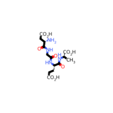 C[C@H](NC(=O)[C@H](CCC(=O)O)NC(=O)CNC(=O)[C@@H](N)CC(=O)O)C(=O)O